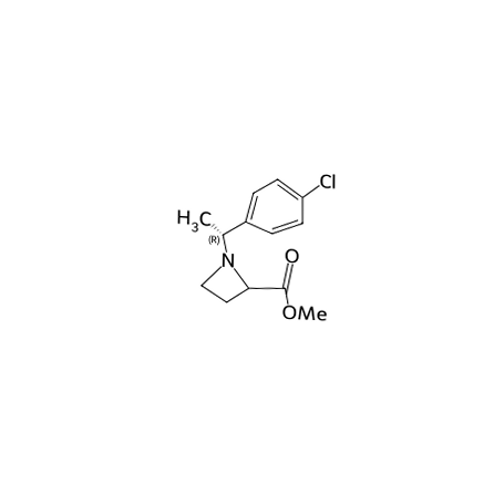 COC(=O)C1CCN1[C@H](C)c1ccc(Cl)cc1